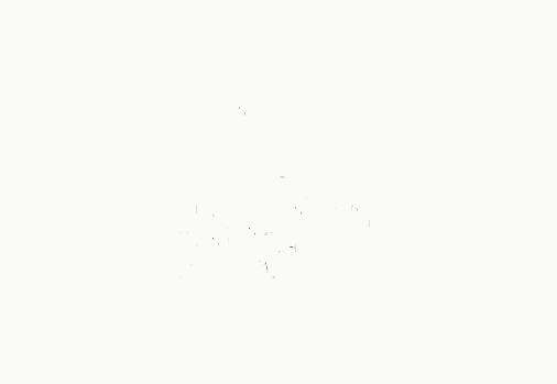 Cc1ncsc1-c1ccc([C@H](CC(=O)NC(C)(C)C)NC(=O)[C@@H]2[C@@H](F)[C@@H](O)CN2C(=O)[C@@H](NC(=O)C2(F)CC2)C(C)(C)C)cc1